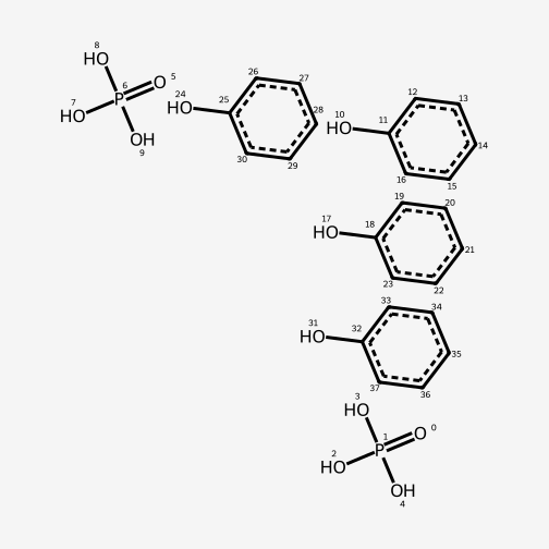 O=P(O)(O)O.O=P(O)(O)O.Oc1ccccc1.Oc1ccccc1.Oc1ccccc1.Oc1ccccc1